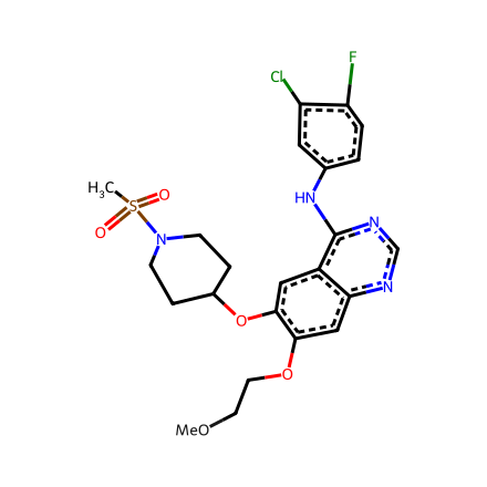 COCCOc1cc2ncnc(Nc3ccc(F)c(Cl)c3)c2cc1OC1CCN(S(C)(=O)=O)CC1